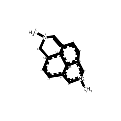 CN1C=c2ccc3c[n+](C)cc4ccc(c2c43)C1